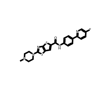 CN1CCN(c2nc3sc(C(=O)Nc4ccc(-c5ccc(F)cn5)cc4)cc3s2)CC1